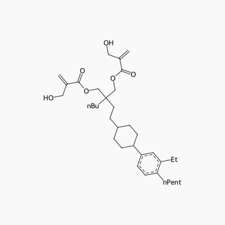 C=C(CO)C(=O)OCC(CCCC)(CCC1CCC(c2ccc(CCCCC)c(CC)c2)CC1)COC(=O)C(=C)CO